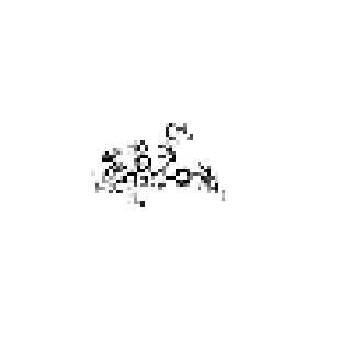 CCOC(=O)COc1cc(-c2scnc2C)ccc1CNC(=O)[C@@H]1C[C@@H](O)CN1C(=O)[C@@H](NC(=O)C1(F)CC1)C(C)(C)C